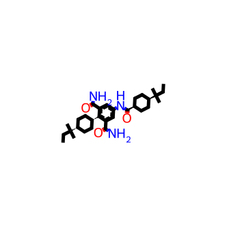 CCC(C)(C)[C@H]1CC[C@@H](C(=O)Nc2cc(C(N)=O)c([C@H]3CC[C@@H](C(C)(C)CC)CC3)c(C(N)=O)c2)CC1